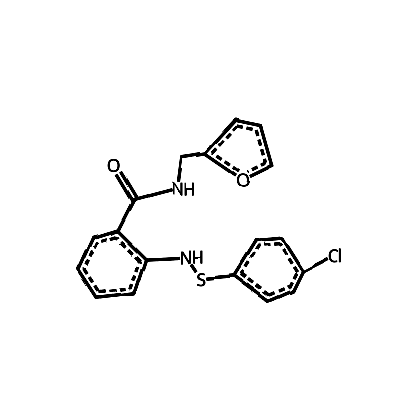 O=C(NCc1ccco1)c1ccccc1NSc1ccc(Cl)cc1